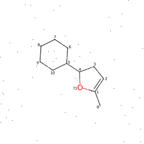 CC1=CCC(C2CCCCC2)O1